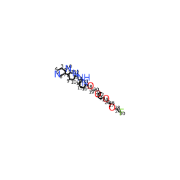 Cn1c2ccncc2c2ccc(Nc3cccc(OCCOCCOCCOCCF)n3)nc21